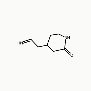 N=CCC1CCNC(=O)C1